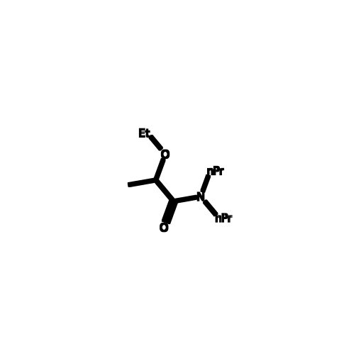 CCCN(CCC)C(=O)C(C)OCC